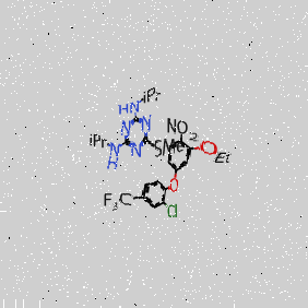 CCOc1cc(Oc2ccc(C(F)(F)F)cc2Cl)ccc1[N+](=O)[O-].CSc1nc(NC(C)C)nc(NC(C)C)n1